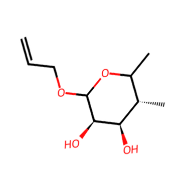 C=CCOC1OC(C)[C@H](C)[C@@H](O)[C@H]1O